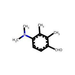 Cc1c(C=O)ccc(N(C)C)c1C